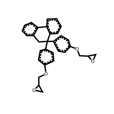 c1ccc2c(c1)CC(c1ccc(OCC3CO3)cc1)(c1ccc(OCC3CO3)cc1)c1ccccc1-2